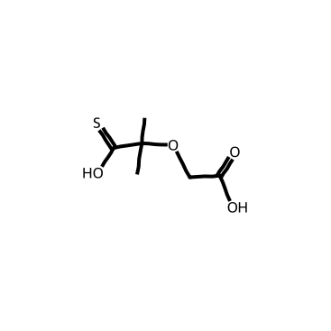 CC(C)(OCC(=O)O)C(O)=S